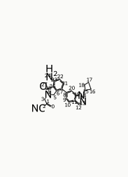 C=C(C#N)CN1Cc2c(-c3ccc4cnn(C5CCC5)c4c3)ccc(N)c2C1=O